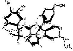 COc1ccc(C(NC2=N[C@](C)(c3cc(Br)c(F)cc3F)C(F)(F)CO2)(c2ccccc2)c2ccc(OC)cc2)cc1